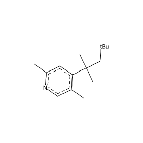 Cc1cc(C(C)(C)CC(C)(C)C)c(C)cn1